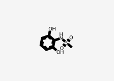 CS(=O)(=O)Nc1c(O)cccc1O